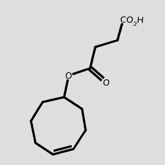 O=C(O)CCC(=O)OC1CC/C=C\CCC1